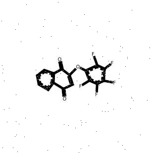 O=C1C=C(Oc2c(F)c(F)c(F)c(F)c2F)C(=O)c2ccccc21